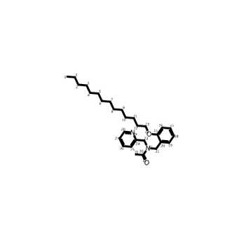 CCCCCCCCCCCCCCOc1ccccc1CN(Cc1ccccn1)C(C)=O